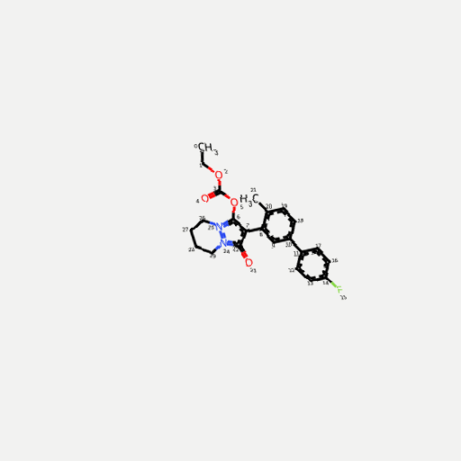 CCOC(=O)Oc1c(-c2cc(-c3ccc(F)cc3)ccc2C)c(=O)n2n1CCCC2